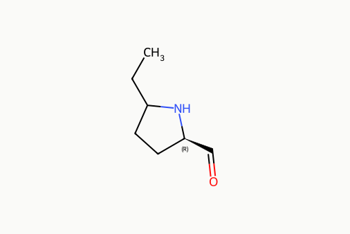 CCC1CC[C@H](C=O)N1